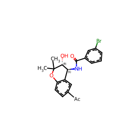 CC(=O)c1ccc2c(c1)[C@H](NC(=O)c1cccc(Br)c1)[C@@H](O)C(C)(C)O2